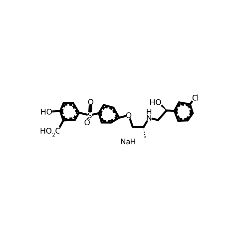 C[C@H](COc1ccc(S(=O)(=O)c2ccc(O)c(C(=O)O)c2)cc1)NC[C@@H](O)c1cccc(Cl)c1.[NaH]